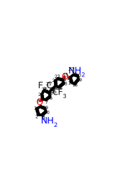 Nc1ccc(Oc2ccc(C(c3ccc(Oc4ccccc4N)cc3)(C(F)(F)F)C(F)(F)F)cc2)cc1